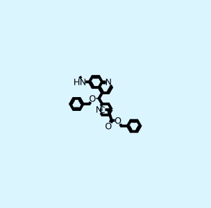 CNc1ccc2nccc([C@@H](OCc3ccccc3)C3CC4CCN3CC4C(=O)OCc3ccccc3)c2c1